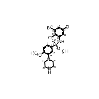 COc1ccc(S(=O)(=O)Nc2cc(Cl)cc(Br)c2Cl)cc1N1CCNCC1.Cl